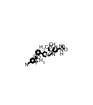 COC(C)Cn1c(CN2CCC(c3cccc4c3OC(C)(c3ccc(C#N)cc3F)O4)CC2)nc2cc(-c3noc(=O)[nH]3)ncc21